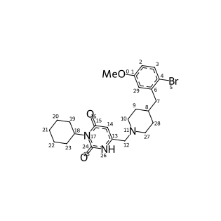 COc1ccc(Br)c(CC2CCN(Cc3cc(=O)n(C4CCCCC4)c(=O)[nH]3)CC2)c1